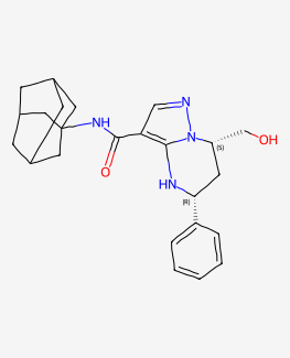 O=C(NC12CC3CC(CC(C3)C1)C2)c1cnn2c1N[C@@H](c1ccccc1)C[C@H]2CO